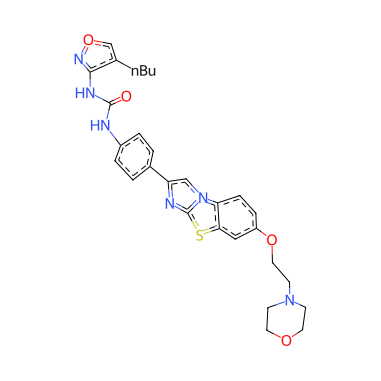 CCCCc1conc1NC(=O)Nc1ccc(-c2cn3c(n2)sc2cc(OCCN4CCOCC4)ccc23)cc1